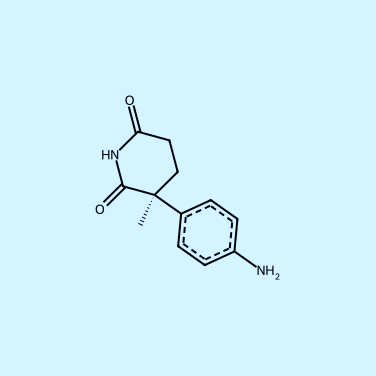 C[C@@]1(c2ccc(N)cc2)CCC(=O)NC1=O